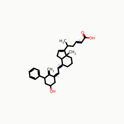 C=C1/C(=C\C=C2/CCCC3(C)C(C(C)C/C=C/C(=O)O)=CCC23)CC(O)CC1c1ccccc1